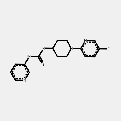 S=C(Nc1cccnc1)NC1CCN(c2ccc(Cl)cn2)CC1